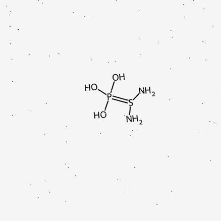 NS(N)=P(O)(O)O